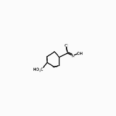 O=C(O)C1CCC(C(Cl)=NO)CC1